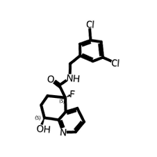 O=C(NCc1cc(Cl)cc(Cl)c1)[C@]1(F)CC[C@H](O)c2ncccc21